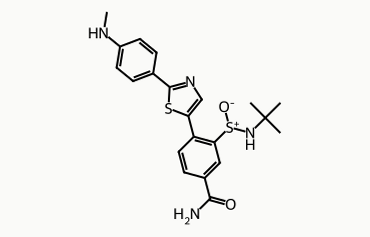 CNc1ccc(-c2ncc(-c3ccc(C(N)=O)cc3[S+]([O-])NC(C)(C)C)s2)cc1